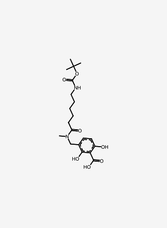 CN(Cc1ccc(O)c(C(=O)O)c1O)C(=O)CCCCCNC(=O)OC(C)(C)C